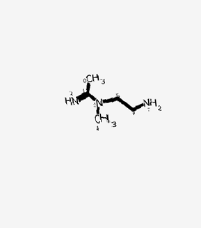 CC(=N)N(C)CCN